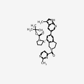 Cc1nccc(C(=O)N2CCc3cc(-c4cnc5[nH]cc(C)c5c4)cc([C@@H]4CCCN4C(=O)OC(C)(C)C)c3C2)n1